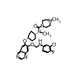 CN1CCN(C(=O)N(C)[C@H]2CC[C@@H](Oc3cc4cncnc4cc3OCNc3ccc(F)c(Cl)c3)CC2)CC1